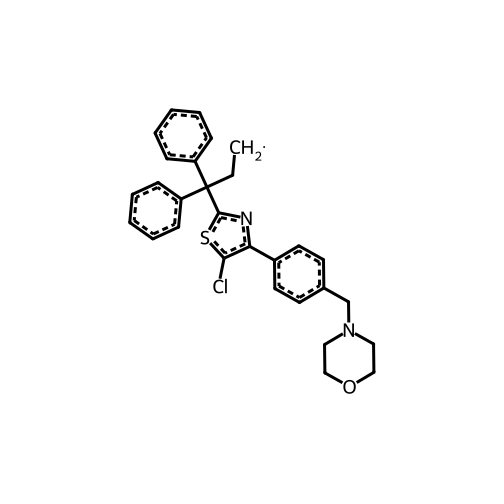 [CH2]CC(c1ccccc1)(c1ccccc1)c1nc(-c2ccc(CN3CCOCC3)cc2)c(Cl)s1